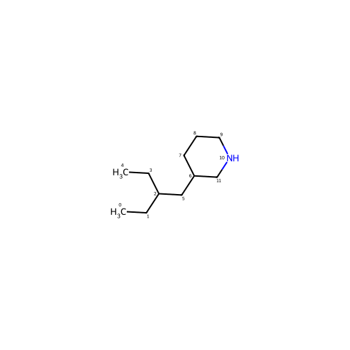 CCC(CC)CC1CCCNC1